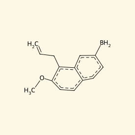 Bc1ccc2ccc(OC)c(CC=C)c2c1